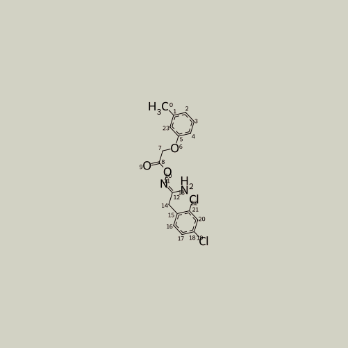 Cc1cccc(OCC(=O)O/N=C(\N)Cc2ccc(Cl)cc2Cl)c1